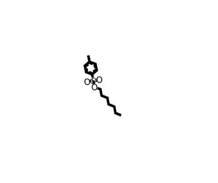 CCCCCCCOS(=O)(=O)c1ccc(C)cc1